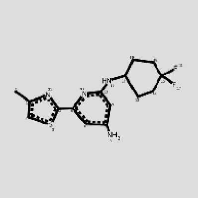 Cc1csc(-c2cc(N)cc(NC3CCC(F)(F)CC3)n2)n1